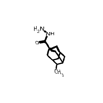 CC1C2CC3CC1CC(C(=O)NN)(C3)C2